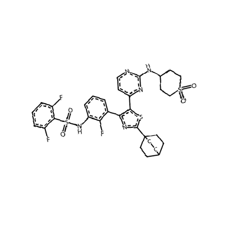 O=S1(=O)CCC(Nc2nccc(-c3sc(C45CCC(CC4)CC5)nc3-c3cccc(NS(=O)(=O)c4c(F)cccc4F)c3F)n2)CC1